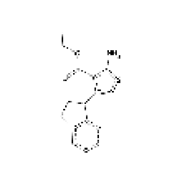 CCOC(=O)c1c(C2CCc3ccccc32)csc1N